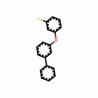 Fc1cccc(Oc2[c]ccc(-c3ccccc3)c2)c1